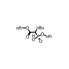 CCCCC(C(=O)OCCC)P(=O)(O)OCCC